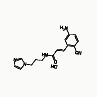 Cl.Nc1ccc(O)c(C=CC(=O)NCCCn2ccnc2)c1